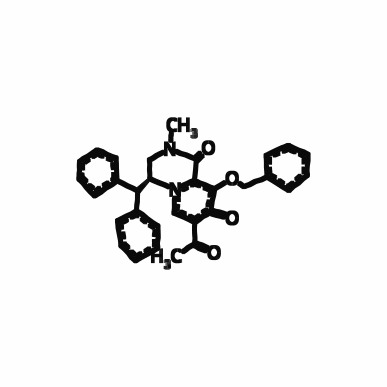 CC(=O)c1cn2c(c(OCc3ccccc3)c1=O)C(=O)N(C)C[C@@H]2C(c1ccccc1)c1ccccc1